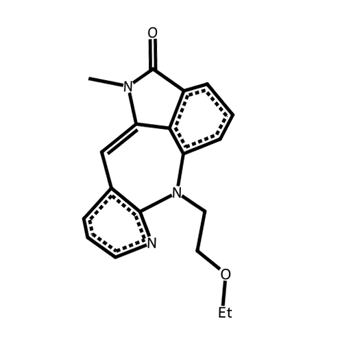 CCOCCN1c2cccc3c2C(=Cc2cccnc21)N(C)C3=O